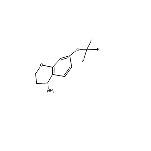 N[C@@H]1CCOc2cc(OC(F)(F)F)ccc21